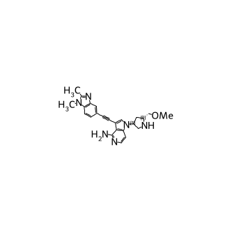 COC[C@H]1C[C@H](n2cc(C#Cc3ccc4c(c3)nc(C)n4C)c3c(N)nccc32)CN1